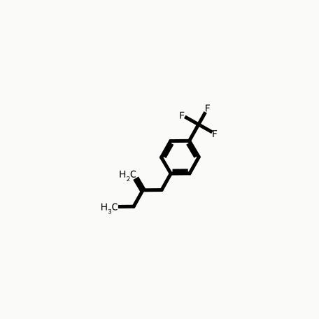 C=C(CC)Cc1ccc(C(F)(F)F)cc1